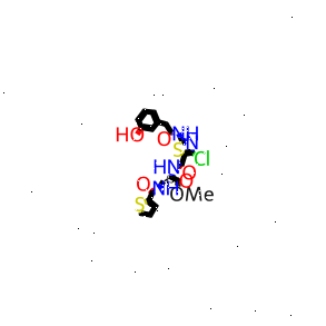 COC(=O)[C@H](CNC(=O)C1=CCCS1)NC(=O)c1sc(NC(=O)Cc2cccc(O)c2)nc1Cl